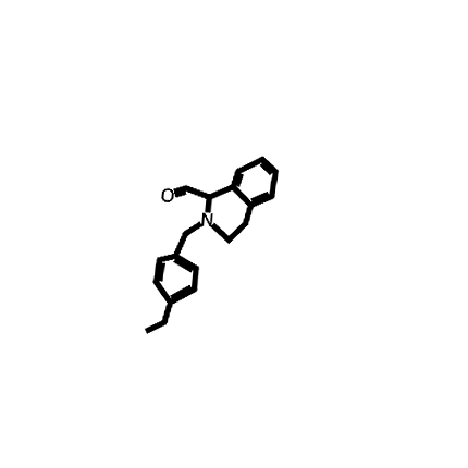 CCc1ccc(CN2CCc3ccccc3C2C=O)cc1